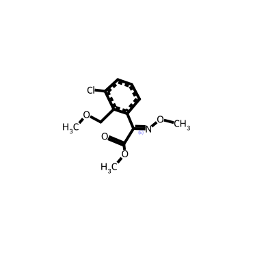 COCc1c(Cl)cccc1/C(=N\OC)C(=O)OC